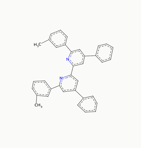 Cc1cccc(-c2cc(-c3ccccc3)cc(-c3cc(-c4ccccc4)cc(-c4cccc(C)c4)n3)n2)c1